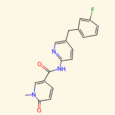 Cn1cc(C(=O)Nc2ccc(Cc3cccc(F)c3)cn2)ccc1=O